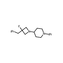 CC(C)CC1(F)CN(C2CCN(C(C)C)CC2)C1